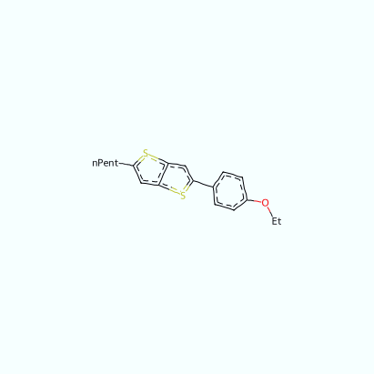 CCCCCc1cc2sc(-c3ccc(OCC)cc3)cc2s1